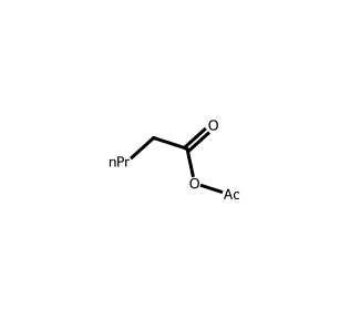 CCCCC(=O)OC(C)=O